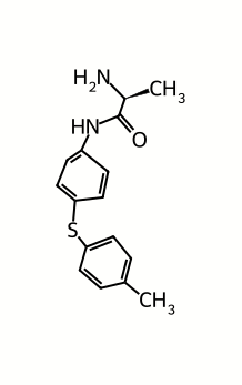 Cc1ccc(Sc2ccc(NC(=O)[C@H](C)N)cc2)cc1